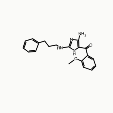 COc1ccccc1C(=O)c1[nH]c(NCCCc2ccccc2)nc1N